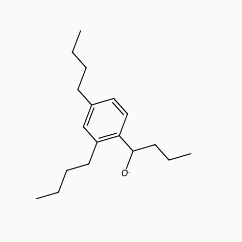 CCCCc1ccc(C([O])CCC)c(CCCC)c1